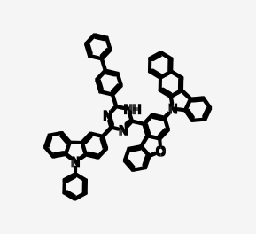 c1ccc(-c2ccc(C3N=C(c4ccc5c(c4)c4ccccc4n5-c4ccccc4)N=C(c4cc(-n5c6ccccc6c6cc7ccccc7cc65)cc5oc6ccccc6c45)N3)cc2)cc1